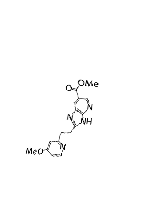 COC(=O)c1cnc2[nH]c(CCc3cc(OC)ccn3)nc2c1